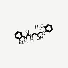 CCc1ccccc1NC(=O)NCC(O)COc1ccccc1C